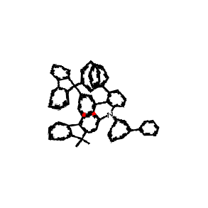 CC1(C)c2ccccc2-c2ccc(N(c3cccc(-c4ccccc4)c3)c3cccc(-c4ccccc4)c3-c3cccc(C4(c5ccccc5)c5ccccc5-c5ccccc54)c3)cc21